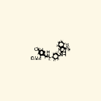 COc1cc(Cl)ccc1CNC[C@H]1CC[C@@H](Nc2nc3c(c(N(C)C)n2)CCCC3)CC1